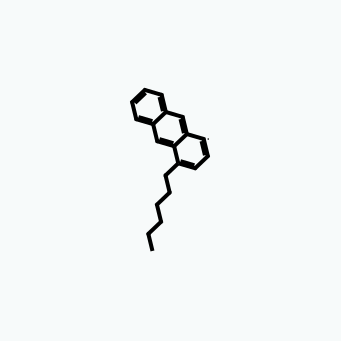 CCCCCCc1cc[c]c2cc3ccccc3cc12